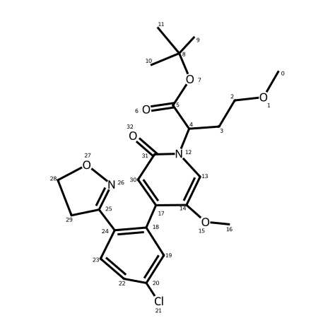 COCCC(C(=O)OC(C)(C)C)n1cc(OC)c(-c2cc(Cl)ccc2C2=NOCC2)cc1=O